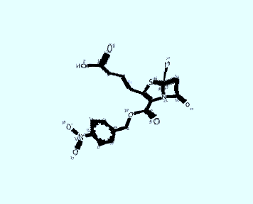 O=C(O)C/C=C/C1=C(C(=O)OCc2ccc([N+](=O)[O-])cc2)N2C(=O)C[C@H]2S1